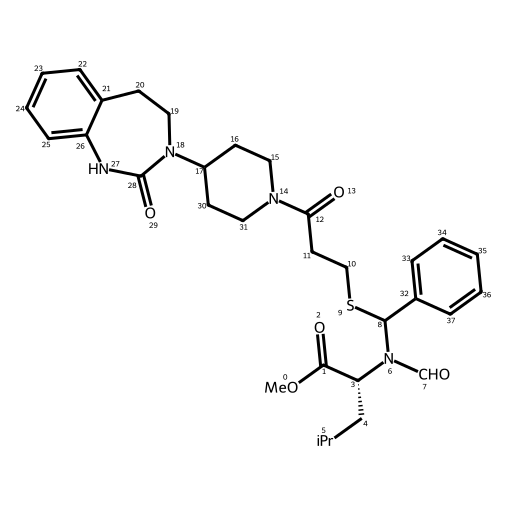 COC(=O)[C@@H](CC(C)C)N(C=O)C(SCCC(=O)N1CCC(N2CCc3ccccc3NC2=O)CC1)c1ccccc1